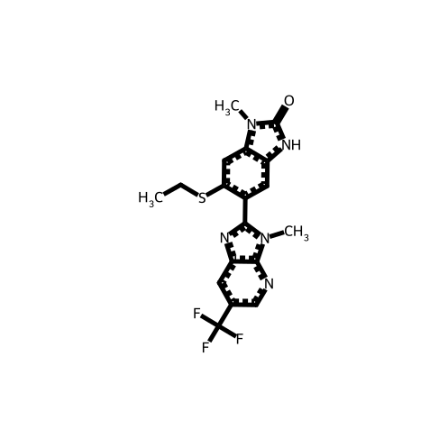 CCSc1cc2c(cc1-c1nc3cc(C(F)(F)F)cnc3n1C)[nH]c(=O)n2C